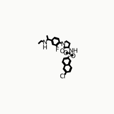 CCNC(C)c1ccc(N2CCC(NS(=O)(=O)c3ccc4cc(Cl)ccc4c3)C2=O)c(F)c1